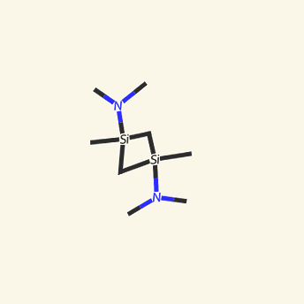 CN(C)[Si]1(C)C[Si](C)(N(C)C)C1